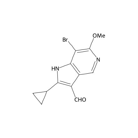 COc1ncc2c(C=O)c(C3CC3)[nH]c2c1Br